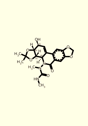 CNC(=O)N(C)N1C(=O)c2cc3c(cc2C2=C[C@H](O)[C@H]4OC(C)(C)O[C@H]4[C@@H]21)OCO3